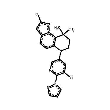 CC1(C)CCN(c2cnc(-n3nccn3)c(Cl)c2)c2ccc3cc(Cl)nn3c21